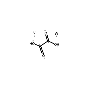 O=C(O)C(=O)O.[V].[W]